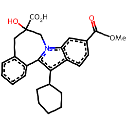 COC(=O)c1ccc2c(C3CCCCC3)c3n(c2c1)CC(O)(C(=O)O)Cc1ccccc1-3